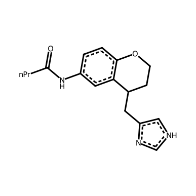 CCCC(=O)Nc1ccc2c(c1)C(Cc1c[nH]cn1)CCO2